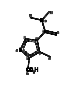 C=C(c1csc(C(=O)O)c1C)N(C)C